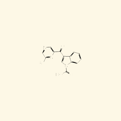 O=C(c1cncc(Br)n1)c1cn(C(=O)O)c2ccccc12